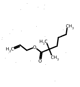 C=CCOC(=O)C(C)(C)CCCC